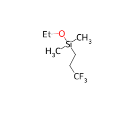 CCO[Si](C)(C)CCC(F)(F)F